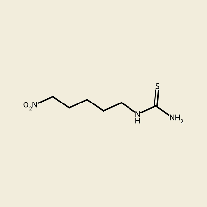 NC(=S)NCCCCC[N+](=O)[O-]